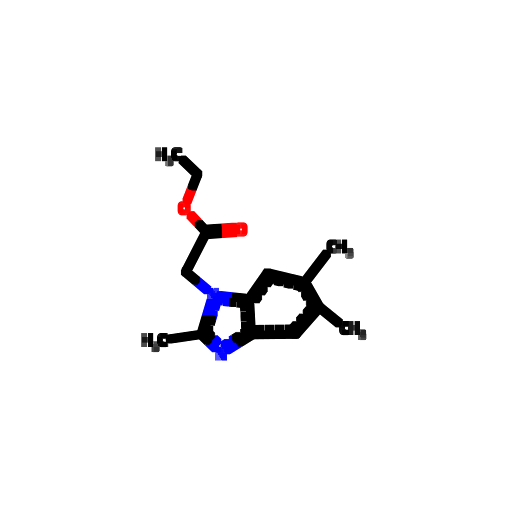 CCOC(=O)Cn1c(C)nc2cc(C)c(C)cc21